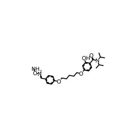 CC(C)N(C(=O)c1ccc(OCCCCCOc2ccc(C=NON)cc2)cc1O)C(C)C